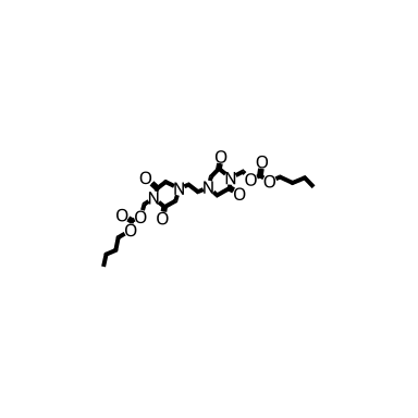 CCCCOC(=O)OCN1C(=O)CN(CCN2CC(=O)N(COC(=O)OCCCC)C(=O)C2)CC1=O